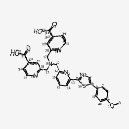 COc1ccc(-c2cnc(-c3cccc(CN(Cc4cc(C(=O)O)ccn4)Cc4cc(C(=O)O)ccn4)n3)s2)cc1